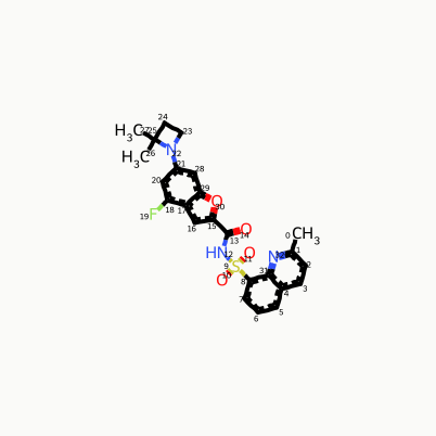 Cc1ccc2cccc(S(=O)(=O)NC(=O)c3cc4c(F)cc(N5CCC5(C)C)cc4o3)c2n1